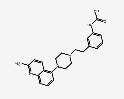 Cc1ccc2c(N3CCN(CCc4cccc(NC(=O)O)c4)CC3)cccc2n1